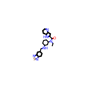 CCN(C(=O)c1cc2ncccc2[nH]1)C1CCCC(NCc2ccc3nsnc3c2)C1